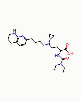 CCN(CC)C(=O)NC(CCN(CCCCc1ccc2c(n1)NCCC2)C1CC1)C(=O)O